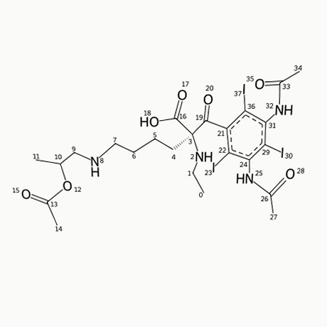 CCN[C@@](CCCCNCC(C)OC(C)=O)(C(=O)O)C(=O)c1c(I)c(NC(C)=O)c(I)c(NC(C)=O)c1I